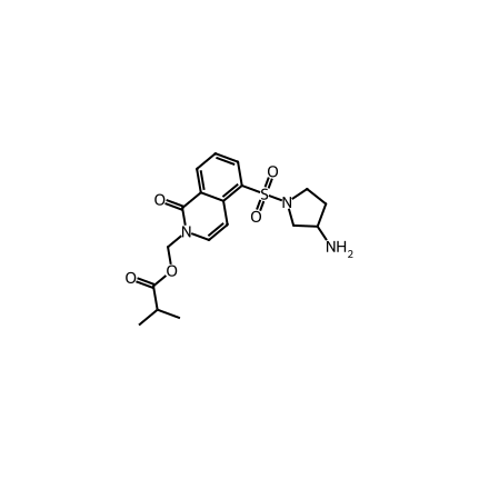 CC(C)C(=O)OCn1ccc2c(S(=O)(=O)N3CCC(N)C3)cccc2c1=O